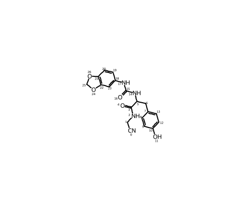 N#CCNC(=O)C(Cc1ccc(O)cc1)NC(=O)Nc1ccc2c(c1)OCO2